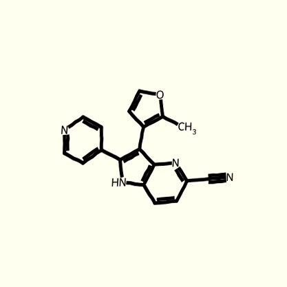 Cc1occc1-c1c(-c2ccncc2)[nH]c2ccc(C#N)nc12